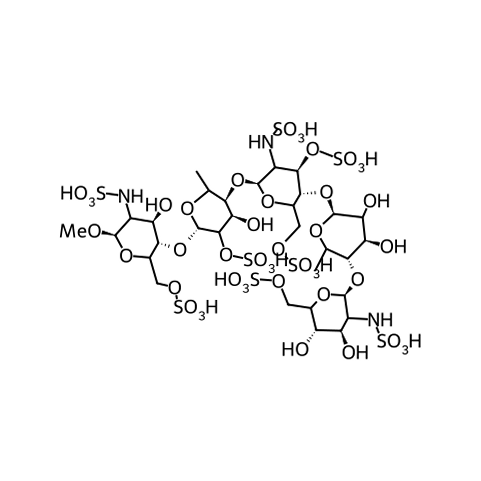 CO[C@@H]1OC(COS(=O)(=O)O)[C@@H](O[C@@H]2OC(C)[C@@H](O[C@@H]3OC(COS(=O)(=O)O)[C@@H](O[C@@H]4OC(C)[C@@H](O[C@@H]5OC(COS(=O)(=O)O)[C@@H](O)[C@H](O)C5NS(=O)(=O)O)[C@H](O)C4O)[C@H](OS(=O)(=O)O)C3NS(=O)(=O)O)[C@@H](O)C2OS(=O)(=O)O)[C@H](O)C1NS(=O)(=O)O